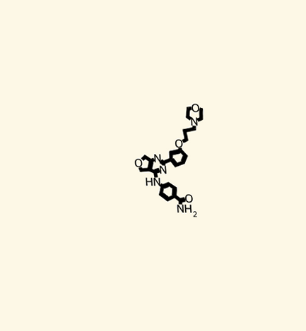 NC(=O)c1ccc(Nc2nc(-c3cccc(OCCCN4CCOCC4)c3)nc3c2COC3)cc1